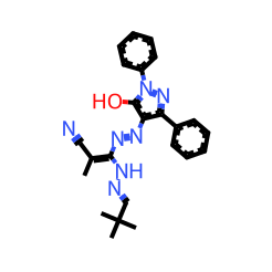 C/C(C#N)=C(/N=N/c1c(-c2ccccc2)nn(-c2ccccc2)c1O)N/N=C/C(C)(C)C